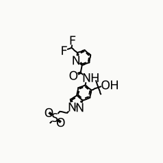 CC(C)(O)c1cc2nn(CCS(C)(=O)=O)cc2cc1NC(=O)c1cccc(C(F)F)n1